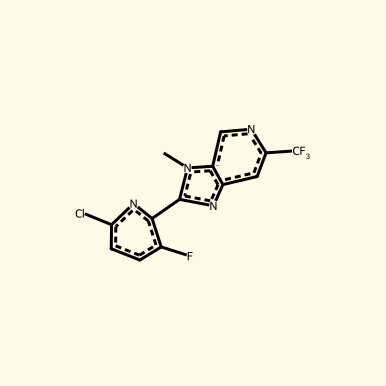 Cn1c(-c2nc(Cl)ccc2F)nc2cc(C(F)(F)F)ncc21